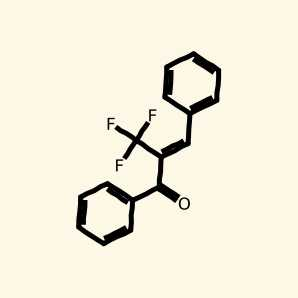 O=C(C(=Cc1ccccc1)C(F)(F)F)c1ccccc1